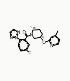 Cc1ccnc(O[C@@H]2CC[C@@H](C)N(C(=O)c3cc(F)ccc3-n3nccn3)C2)c1